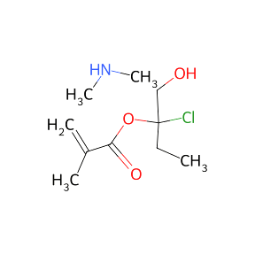 C=C(C)C(=O)OC(Cl)(CC)CO.CNC